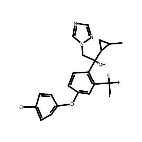 CC1CC1C(O)(Cn1cncn1)c1ccc(Oc2ccc(Cl)cc2)cc1C(F)(F)F